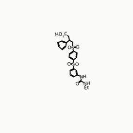 CCNC(=O)Nc1cccc(S(=O)(=O)c2ccc(S(=O)(=O)CC(CC(=O)O)c3ccccc3)cc2)c1